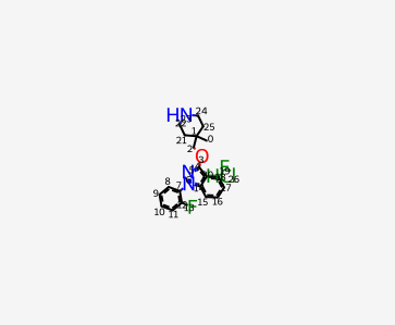 CC1(COc2nn(-c3ccccc3F)c3cccc(F)c23)CCNCC1.Cl